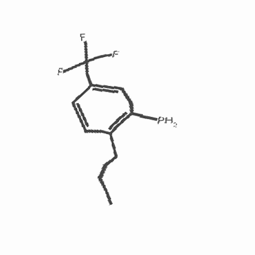 CCCc1ccc(C(F)(F)F)cc1P